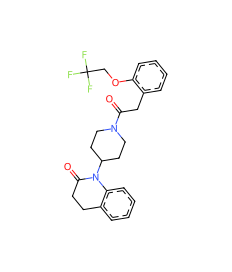 O=C(Cc1ccccc1OCC(F)(F)F)N1CCC(N2C(=O)CCc3ccccc32)CC1